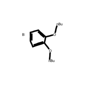 CCCCOc1ccccc1OCCCC.[B]